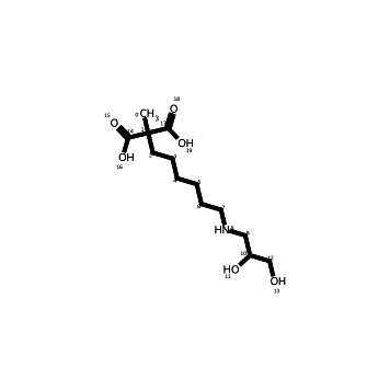 CC(CCCCCCNCC(O)CO)(C(=O)O)C(=O)O